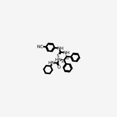 N#Cc1ccc(NC(=S)N[C@H](c2ccccc2)[C@H](NC(=O)NC2CCCCC2)c2ccccc2)cc1